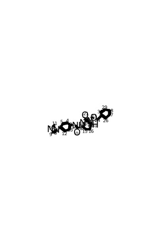 O=C(Nc1ccc(-n2ccnc2)cc1)[C@@H]1CC[C@H]2CN1C(=O)N2OCc1ccccc1